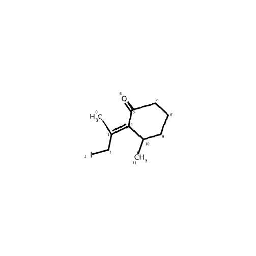 CC(CI)=C1C(=O)CCCC1C